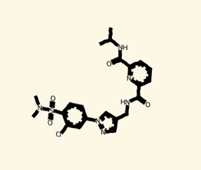 CC(C)NC(=O)c1cccc(C(=O)NCc2cnn(-c3ccc(S(=O)(=O)N(C)C)c(Cl)c3)c2)n1